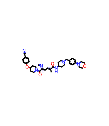 C=N/C(=C\C=C(/C)C(=O)NC1CCN(Cc2ccc(N3CCOCC3)cc2)CC1)C(=O)N1CCC(Oc2ccc(C#N)cc2)CC1